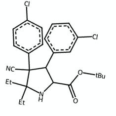 CCC1(CC)NC(C(=O)OC(C)(C)C)C(c2cccc(Cl)c2)C1(C#N)c1ccc(Cl)cc1